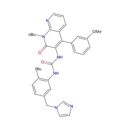 CCCCn1c(=O)c(NC(=O)Nc2cc(Cn3ccnc3)ccc2C(C)(C)C)c(-c2cccc(OC)c2)c2cccnc21